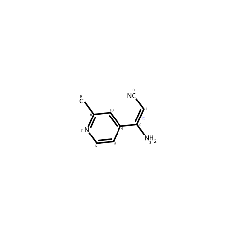 N#C/C=C(/N)c1ccnc(Cl)c1